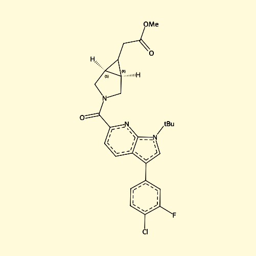 COC(=O)CC1[C@H]2CN(C(=O)c3ccc4c(-c5ccc(Cl)c(F)c5)cn(C(C)(C)C)c4n3)C[C@@H]12